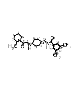 CC1CCCCN1C(=O)CN[C@H]1CC[C@H](CNC(=O)c2cc(C(F)(F)F)cc(C(F)(F)F)c2)CC1